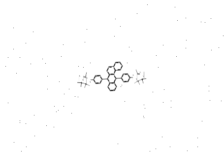 CC1=NC(C)(C)C(C)(C)N1c1ccc(-c2c3ccccc3c(-c3ccc(N4C(C)=NC(C)(C)C4(C)C)cc3)c3c2ccc2ccccc23)cc1